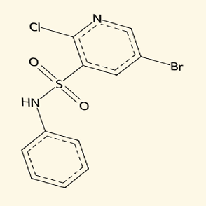 O=S(=O)(Nc1ccccc1)c1cc(Br)cnc1Cl